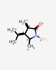 BN1C(=O)C(=C)C(=C(C)C)C1C